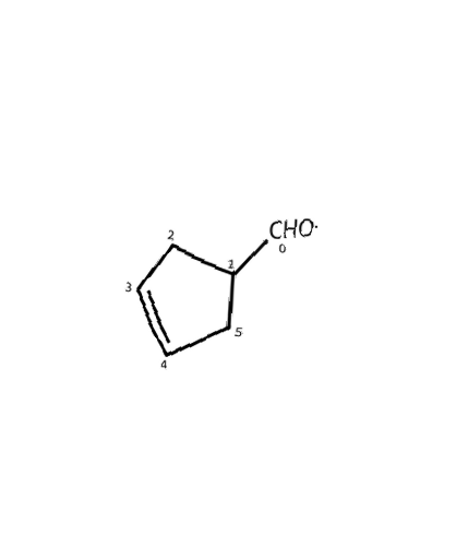 O=[C]C1CC=CC1